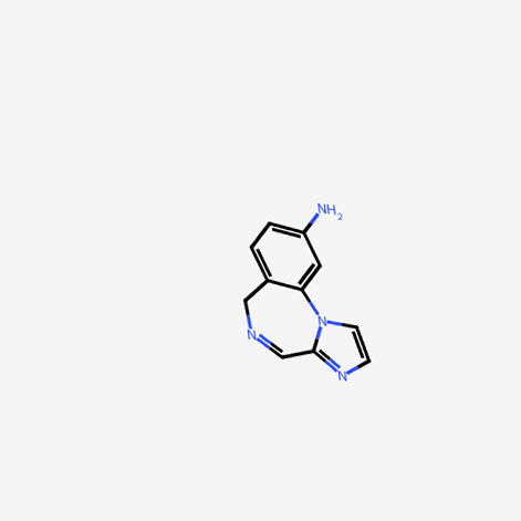 Nc1ccc2c(c1)-n1ccnc1C=NC2